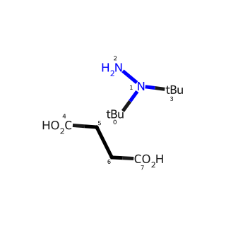 CC(C)(C)N(N)C(C)(C)C.O=C(O)CCC(=O)O